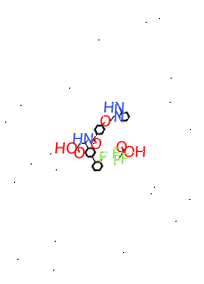 N=c1ccccn1CCOc1ccc(C(=O)NC(CC(=O)O)c2ccc(-c3ccccc3F)cc2)cc1.O=C(O)C(F)(F)F